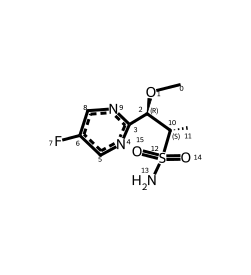 CO[C@H](c1ncc(F)cn1)[C@H](C)S(N)(=O)=O